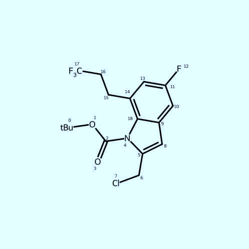 CC(C)(C)OC(=O)n1c(CCl)cc2cc(F)cc(CCC(F)(F)F)c21